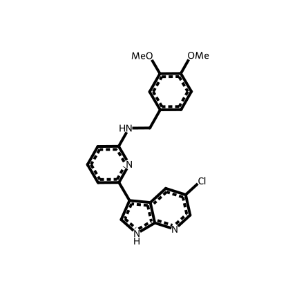 COc1ccc(CNc2cccc(-c3c[nH]c4ncc(Cl)cc34)n2)cc1OC